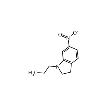 CCCN1CCc2ccc([N+](=O)[O-])cc21